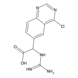 N=C(N)NC(C(=O)O)c1ccc2ncnc(Cl)c2c1